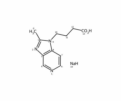 Cc1nc2cnccc2n1CCCC(=O)O.[NaH]